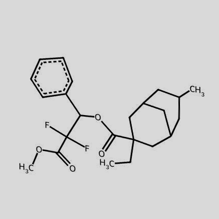 CCC1(C(=O)OC(c2ccccc2)C(F)(F)C(=O)OC)CC2CC(C)CC(C2)C1